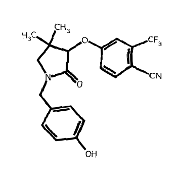 CC1(C)CN(Cc2ccc(O)cc2)C(=O)C1Oc1ccc(C#N)c(C(F)(F)F)c1